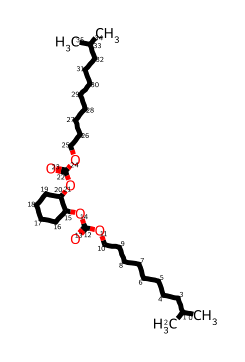 CC(C)CCCCCCCCOC(=O)OC1CCCCC1OC(=O)OCCCCCCCCC(C)C